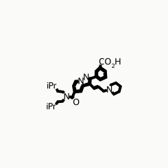 CC(C)CCN(CCC(C)C)C(=O)c1ccn2nc(-c3cccc(C(=O)O)c3)c(/C=C/CN3CCCCC3)c2c1